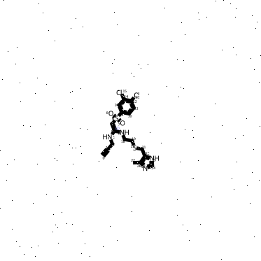 C#CCN/C(=C/S(=O)(=O)c1ccc(Cl)c(Cl)c1)NCCSCc1[nH]cnc1C